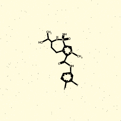 CC(O)C1CCc2c(cn(C)c2C(=O)Nc2ccc(F)c(F)c2)S(=N)(=O)N1